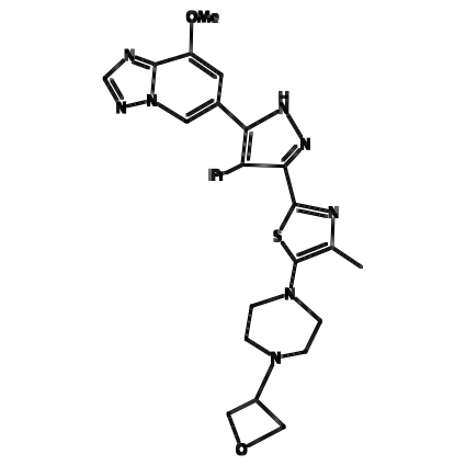 COc1cc(-c2[nH]nc(-c3nc(C)c(N4CCN(C5COC5)CC4)s3)c2C(C)C)cn2ncnc12